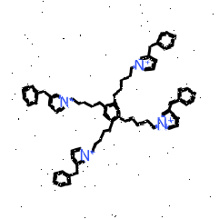 c1ccc(Cc2ccc[n+](CCCCCc3cc(CCCCC[n+]4cccc(Cc5ccccc5)c4)c(CCCCC[n+]4cccc(Cc5ccccc5)c4)cc3CCCCC[n+]3cccc(Cc4ccccc4)c3)c2)cc1